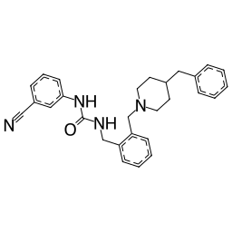 N#Cc1cccc(NC(=O)NCc2ccccc2CN2CCC(Cc3ccccc3)CC2)c1